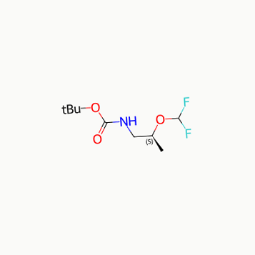 C[C@@H](CNC(=O)OC(C)(C)C)OC(F)F